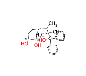 CC(CC1CC[C@@H](O)[C@@H](O)C1)C(C)(C)[Si](O)(c1ccccc1)c1ccccc1